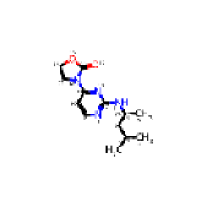 CC(C)C[C@H](C)Nc1nccc(N2CCOC2=O)n1